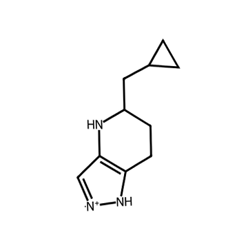 C1=[N+]NC2=C1NC(CC1CC1)CC2